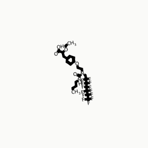 CCCCNC(=O)N(CCOc1ccc(CC(OCC)C(=O)O)cc1)CC(F)(F)C(F)(F)C(F)(F)C(F)(F)C(F)(F)C(F)(F)F